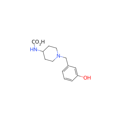 O=C(O)NC1CCN(Cc2cccc(O)c2)CC1